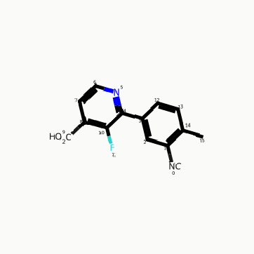 [C-]#[N+]c1cc(-c2nccc(C(=O)O)c2F)ccc1C